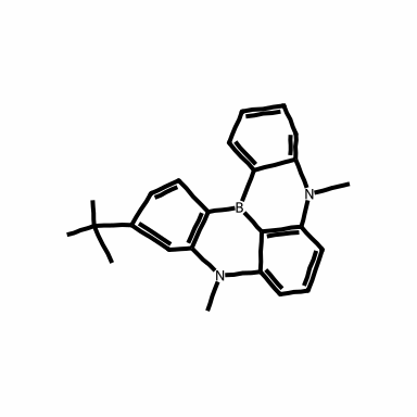 CN1c2ccccc2B2c3ccc(C(C)(C)C)cc3N(C)c3cccc1c32